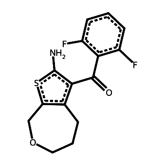 Nc1sc2c(c1C(=O)c1c(F)cccc1F)CCCOC2